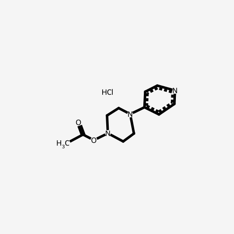 CC(=O)ON1CCN(c2ccncc2)CC1.Cl